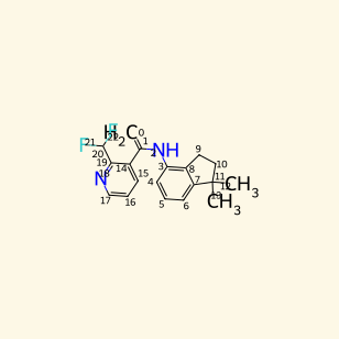 C=C(Nc1cccc2c1CCC2(C)C)c1cccnc1C(F)F